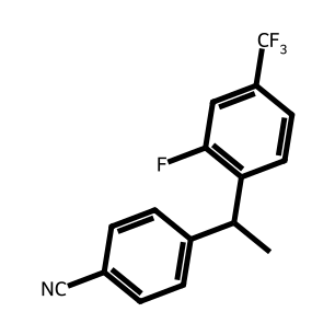 CC(c1ccc(C#N)cc1)c1ccc(C(F)(F)F)cc1F